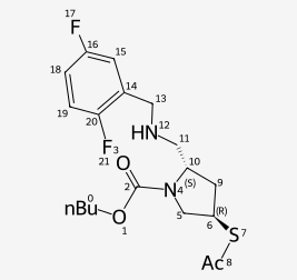 CCCCOC(=O)N1C[C@H](SC(C)=O)C[C@H]1CNCc1cc(F)ccc1F